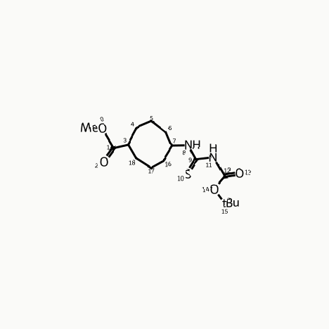 COC(=O)C1CCCC(NC(=S)NC(=O)OC(C)(C)C)CCC1